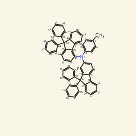 Cc1ccc(N(c2ccc3c(c2)C(c2ccccc2)(c2ccccc2)c2ccccc2-3)c2cccc3c2-c2ccccc2C3(c2ccccc2)c2ccccc2)cc1